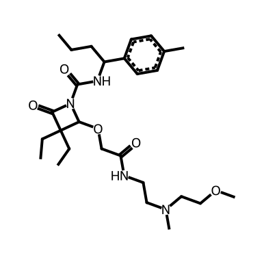 CCCC(NC(=O)N1C(=O)C(CC)(CC)C1OCC(=O)NCCN(C)CCOC)c1ccc(C)cc1